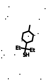 CCC(S)(CC)C1CCC(C)CC1